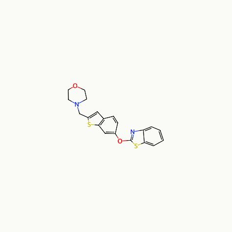 c1ccc2sc(Oc3ccc4cc(CN5CCOCC5)sc4c3)nc2c1